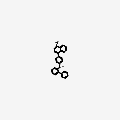 CC(C)(C)c1ccc(-c2ccc(Nc3ccccc3-c3ccccc3)cc2)c2ccccc12